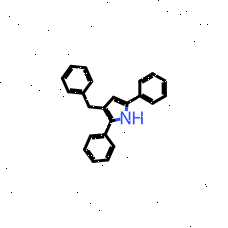 c1ccc(Cc2cc(-c3ccccc3)[nH]c2-c2ccccc2)cc1